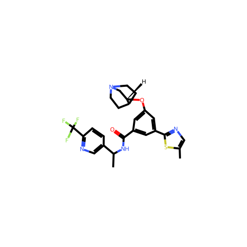 Cc1cnc(-c2cc(O[C@H]3CN4CCC3CC4)cc(C(=O)NC(C)c3ccc(C(F)(F)F)nc3)c2)s1